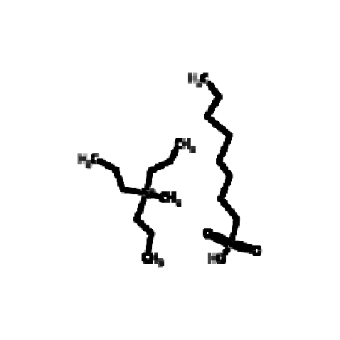 CCCCCCCCS(=O)(=O)O.CCC[N+](C)(CCC)CCC